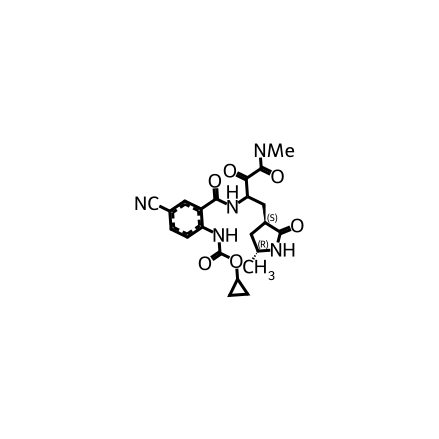 CNC(=O)C(=O)C(C[C@@H]1C[C@@H](C)NC1=O)NC(=O)c1cc(C#N)ccc1NC(=O)OC1CC1